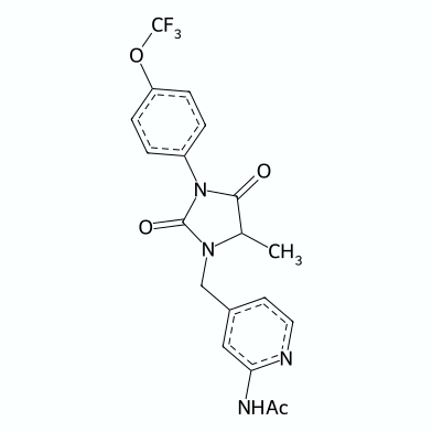 CC(=O)Nc1cc(CN2C(=O)N(c3ccc(OC(F)(F)F)cc3)C(=O)C2C)ccn1